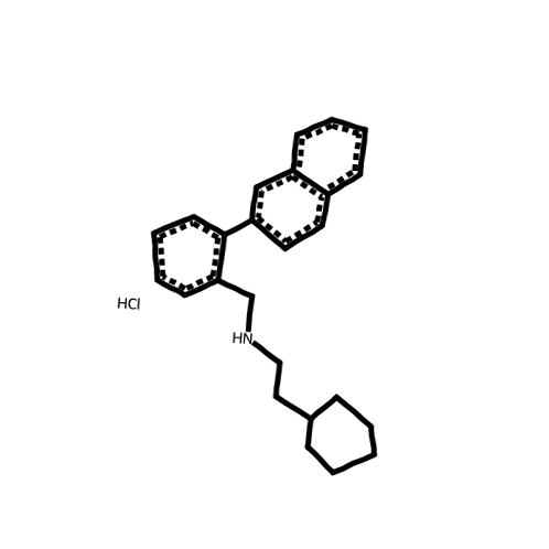 Cl.c1ccc(-c2ccc3ccccc3c2)c(CNCCC2CCCCC2)c1